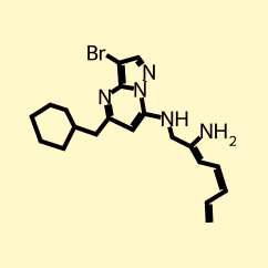 C=C/C=C\C=C(/N)CNc1cc(CC2CCCCC2)nc2c(Br)cnn12